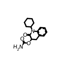 NC(=O)OC1Cc2ccccc2N(C2CCCCC2)C1=O